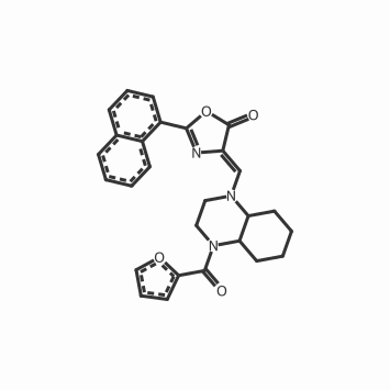 O=C1OC(c2cccc3ccccc23)=NC1=CN1CCN(C(=O)c2ccco2)C2CCCCC21